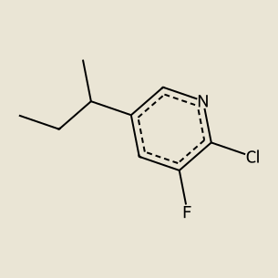 CCC(C)c1cnc(Cl)c(F)c1